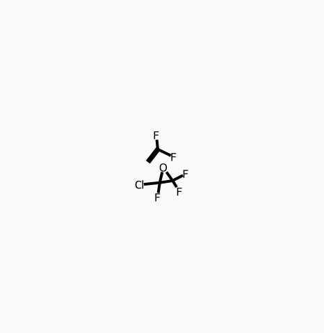 C=C(F)F.FC1(F)OC1(F)Cl